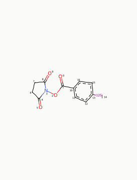 O=C(ON1C(=O)CCC1=O)c1ccc([125I])cc1